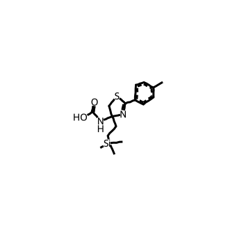 Cc1ccc(C2=NC(CC[Si](C)(C)C)(NC(=O)O)CS2)cc1